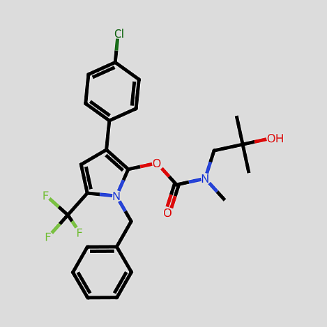 CN(CC(C)(C)O)C(=O)Oc1c(-c2ccc(Cl)cc2)cc(C(F)(F)F)n1Cc1ccccc1